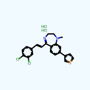 CN1CCN=C(C=Cc2ccc(Cl)c(Cl)c2)c2ccc(-c3ccsc3)cc21.Cl.Cl